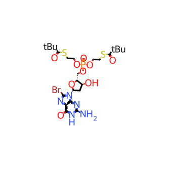 CC(C)(C)C(=O)SCCOP(=O)(OCCSC(=O)C(C)(C)C)OC[C@H]1O[C@@H](n2c(Br)nc3c(=O)[nH]c(N)nc32)C[C@@H]1O